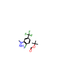 CC(C)(C)OC=O.CN(N)c1cc(C(F)(F)F)ccc1F